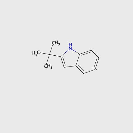 CC(C)(C)c1cc2c[c]ccc2[nH]1